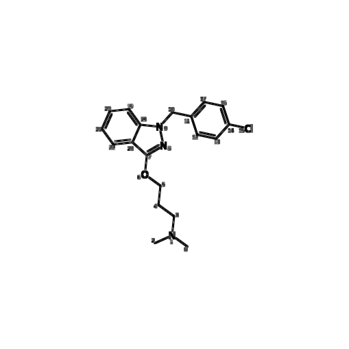 CN(C)CCCOc1nn(Cc2ccc(Cl)cc2)c2ccccc12